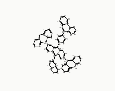 c1ccc2c(c1)Cc1ccccc1N2c1ccc2c(-c3ccc4ccccc4c3)c3cc(N4c5ccccc5Cc5ccccc54)ccc3c(-c3ccc(-c4cc5ccccc5c5ccccc45)cc3)c2c1